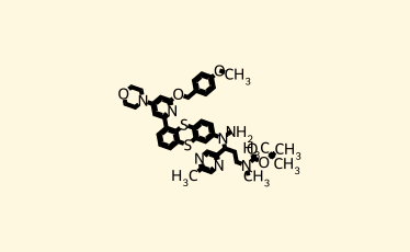 COc1ccc(COc2cc(N3CCOCC3)cc(-c3cccc4c3Sc3ccc(N(N)C(CCN(C)C(=O)OC(C)(C)C)c5cnc(C)cn5)cc3S4)n2)cc1